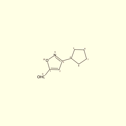 O=Cc1cc(C2CCCC2)no1